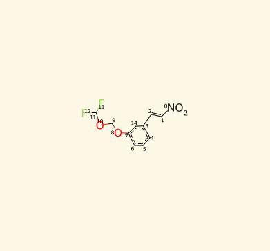 O=[N+]([O-])/C=C/c1cccc(OCOC(F)F)c1